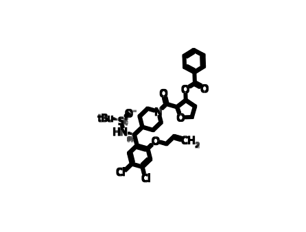 C=CCOc1cc(Cl)c(Cl)cc1[C@H](N[S@@+]([O-])C(C)(C)C)C1CCN(C(=O)C2OCCC2OC(=O)c2ccccc2)CC1